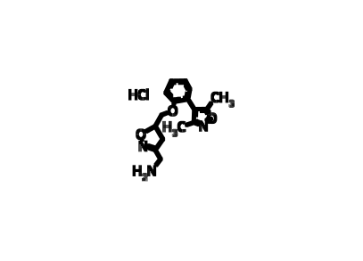 Cc1noc(C)c1-c1ccccc1OCC1CC(CN)=NO1.Cl